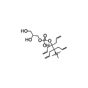 C=CCC(CC=C)(OP(=O)(O)OCC(O)CO)C(CC=C)(CC=C)[N+](C)(C)C